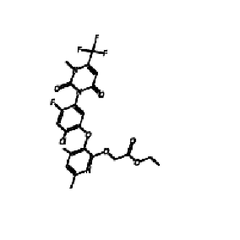 CCOC(=O)COc1nc(C)cc(C)c1Oc1cc(-n2c(=O)cc(C(F)(F)F)n(C)c2=O)c(F)cc1Cl